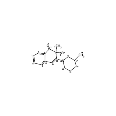 CCCC1(C)C(=O)c2ccccc2C=C1N1CCCC(C)C1